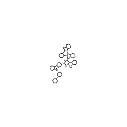 c1ccc(-c2cccc(-n3c4ccccc4c4ccc(-c5nc(-n6c7ccccc7c7c8c9ccccc9sc8c8ccccc8c76)c6c(n5)oc5ccccc56)cc43)c2)cc1